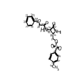 Cc1ccc(S(=O)(=O)OC[C@@H]2NC(=O)[C@@H]2NC(=O)COc2ccccc2)cc1